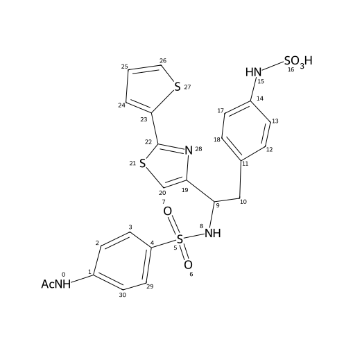 CC(=O)Nc1ccc(S(=O)(=O)NC(Cc2ccc(NS(=O)(=O)O)cc2)c2csc(-c3cccs3)n2)cc1